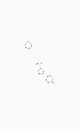 CCc1cc(-c2ccc(S(=O)(=O)NCCNc3ccccc3)s2)c(C)[nH]c1=O.Cl